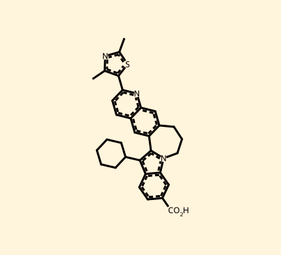 Cc1nc(C)c(-c2ccc3cc4c(cc3n2)CCCn2c-4c(C3CCCCC3)c3ccc(C(=O)O)cc32)s1